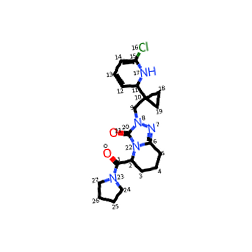 O=C(C1CCCc2nn(CC3(C4C=CC=C(Cl)N4)CC3)c(=O)n21)N1CCCC1